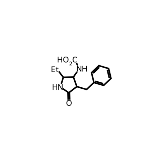 CCC1NC(=O)C(Cc2ccccc2)C1NC(=O)O